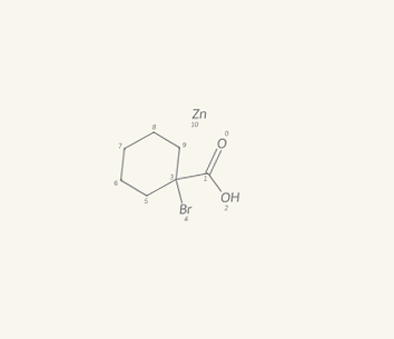 O=C(O)C1(Br)CCCCC1.[Zn]